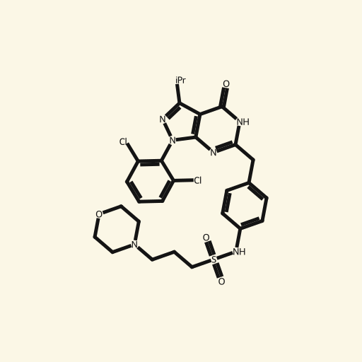 CC(C)c1nn(-c2c(Cl)cccc2Cl)c2nc(Cc3ccc(NS(=O)(=O)CCCN4CCOCC4)cc3)[nH]c(=O)c12